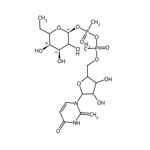 C=C1NC(=O)C=CN1C1OC(COP(C)(=O)OP(C)(=O)O[C@@H]2OC(CC)[C@H](O)[C@H](O)C2O)C(O)C1O